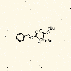 CCCC[C@H](NC(=O)OCc1ccccc1)C(=O)OC(C)(C)C